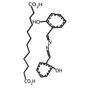 O=C(O)CCCCCCCCCCC(=O)O.Oc1ccccc1C=NN=Cc1ccccc1O